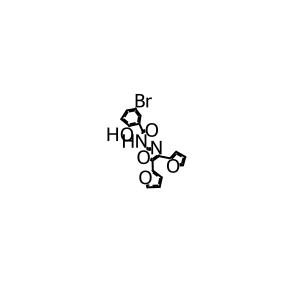 O=C(Nc1nc(-c2ccco2)c(-c2ccco2)o1)c1cc(Br)ccc1O